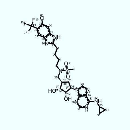 CS(=O)(=O)N(CCCCc1nc2cc(C(F)(F)F)c(Cl)cc2[nH]1)C[C@H]1C[C@@H](n2cnc3c(NC4CC4)ncnc32)[C@H](O)[C@@H]1O